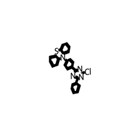 Clc1nc(-c2ccccc2)nc(-c2ccc(N3c4ccccc4Sc4ccccc43)cc2)n1